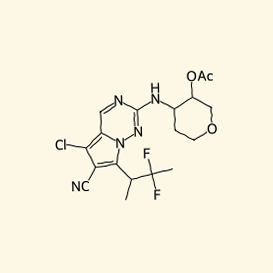 CC(=O)OC1COCCC1Nc1ncc2c(Cl)c(C#N)c(C(C)C(C)(F)F)n2n1